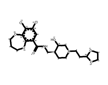 O=C(NC[C@@H]1CCN(CCC2OCCO2)CC1O)c1cc(Cl)c(Cl)c2c1OCCCO2